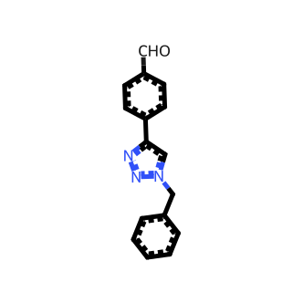 O=Cc1ccc(-c2cn(Cc3ccccc3)nn2)cc1